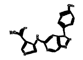 COC(=O)c1cscc1Nc1ncc2nnn(-c3ccc(OC)cc3)c2n1